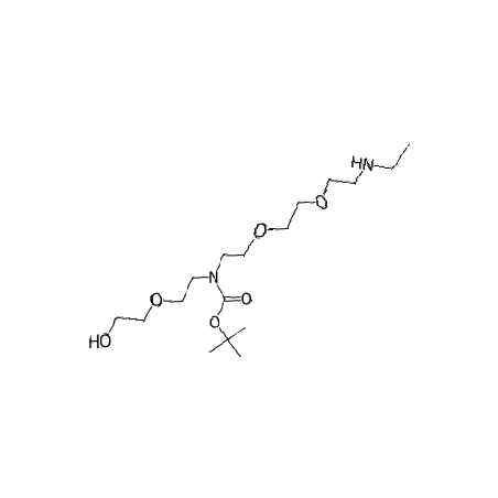 CCNCCOCCOCCN(CCOCCO)C(=O)OC(C)(C)C